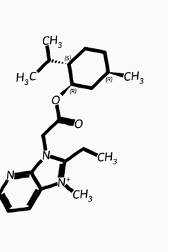 CCc1n(CC(=O)O[C@@H]2C[C@H](C)CC[C@H]2C(C)C)c2ncccc2[n+]1C